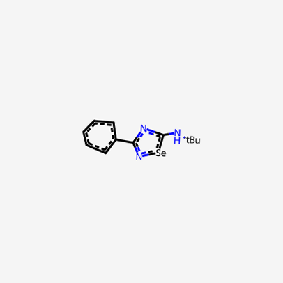 CC(C)(C)Nc1nc(-c2ccccc2)n[se]1